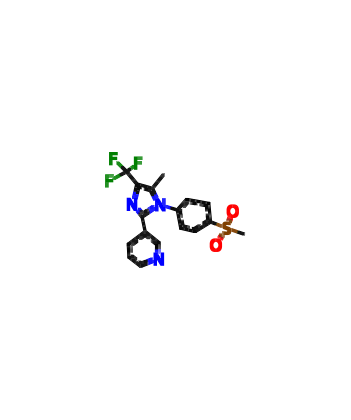 Cc1c(C(F)(F)F)nc(-c2cccnc2)n1-c1ccc(S(C)(=O)=O)cc1